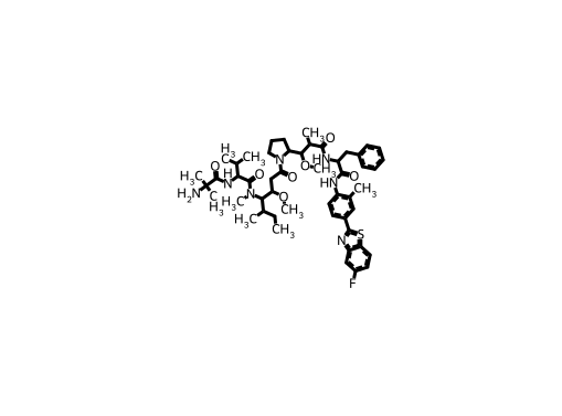 CCC(C)C(C(CC(=O)N1CCCC1C(OC)C(C)C(=O)NC(Cc1ccccc1)C(=O)Nc1ccc(-c2nc3cc(F)ccc3s2)cc1C)OC)N(C)C(=O)C(NC(=O)C(C)(C)N)C(C)C